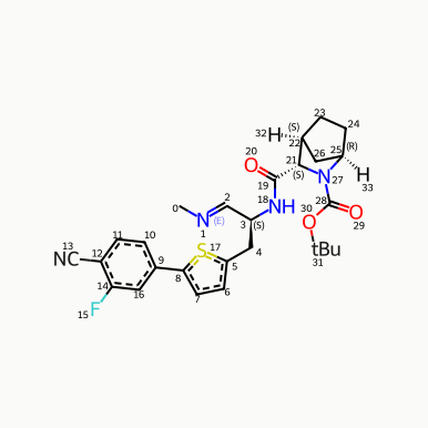 C/N=C/[C@H](Cc1ccc(-c2ccc(C#N)c(F)c2)s1)NC(=O)[C@@H]1[C@H]2CC[C@H](C2)N1C(=O)OC(C)(C)C